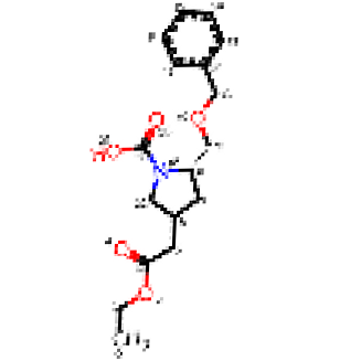 CCOC(=O)CC1C[C@@H](COCc2ccccc2)N(C(=O)O)C1